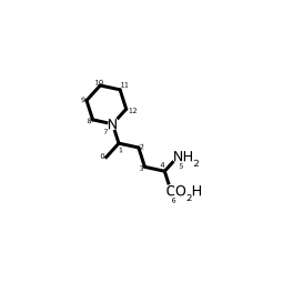 CC(CCC(N)C(=O)O)N1CCCCC1